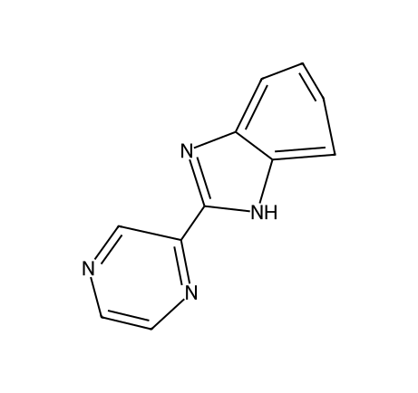 c1ccc2[nH]c(-c3cnccn3)nc2c1